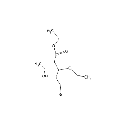 CCO.CCOC(=O)CC(CCBr)OCC